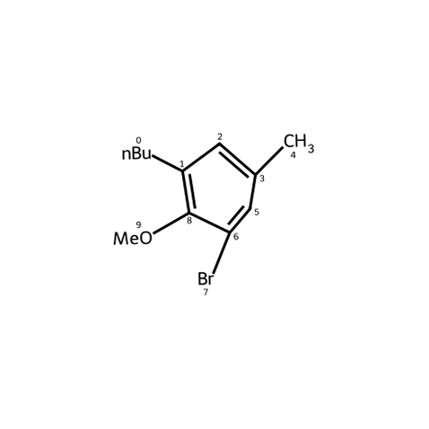 CCCCc1cc(C)cc(Br)c1OC